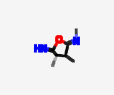 C/N=C1\OC(=N)[C@@H](C)C1C